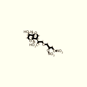 O=C(O)C(COCC(CO[N+](=O)[O-])O[N+](=O)[O-])[C@@H]1CO[C@H]2[C@@H]1OC[C@H]2O